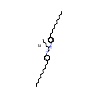 CCCCCCCCCCCc1ccc(/N=C/C(CCCC)=N/c2ccc(CCCCCCCCCCC)cc2)cc1.[Ni]